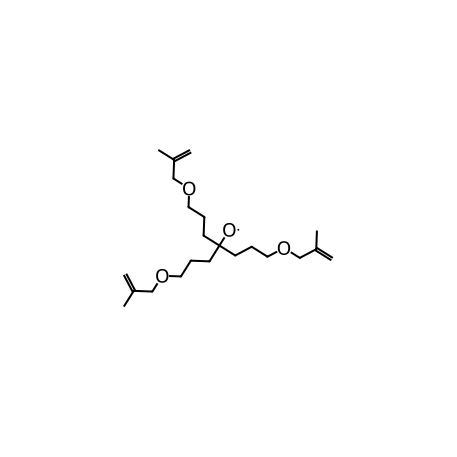 C=C(C)COCCCC([O])(CCCOCC(=C)C)CCCOCC(=C)C